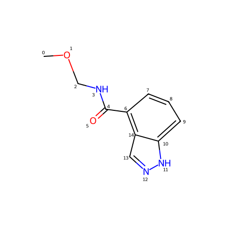 COCNC(=O)c1cccc2[nH]ncc12